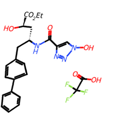 CCOC(=O)[C@H](O)C[C@@H](Cc1ccc(-c2ccccc2)cc1)NC(=O)c1cn(O)nn1.O=C(O)C(F)(F)F